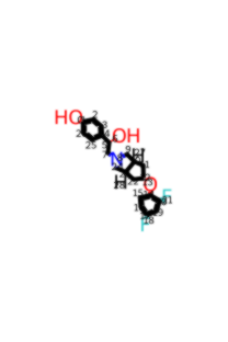 Oc1ccc([C@H](O)CN2C[C@H]3CC(Oc4ccc(F)cc4F)C[C@H]3C2)cc1